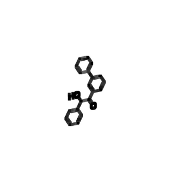 O=C(c1cccc(-c2ccccc2)c1)C(O)c1ccccc1